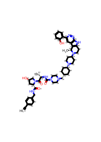 C#Cc1ccc(CNC(=O)[C@@H]2C[C@@H](O)CN2C(=O)[C@@H](NC(=O)N2CCN(C[C@H]3CC[C@H](N4CCC(N5CCc6[nH]c7nnc(-c8ccccc8O)cc7c6[C@H]5C)CC4)CC3)CC2)C(C)(C)C)cc1